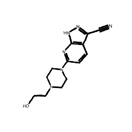 N#Cc1n[nH]c2nc(N3CCN(CCO)CC3)ccc12